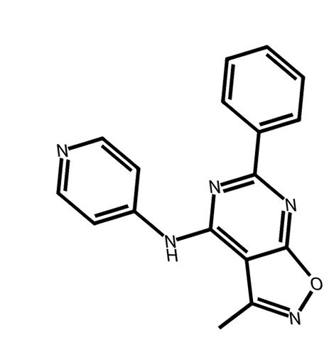 Cc1noc2nc(-c3ccccc3)nc(Nc3ccncc3)c12